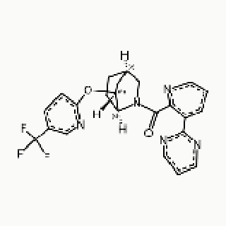 O=C(c1ncccc1-c1ncccn1)N1C[C@@H]2CC[C@H]1[C@H](Oc1ccc(C(F)(F)F)cn1)C2